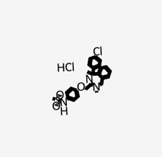 CN1Cc2ccccc2C(C)(c2ccc(Cl)cc2)N=C1COc1ccc(NS(C)(=O)=O)cc1.Cl